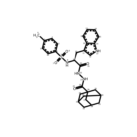 Cc1ccc(S(=O)(=O)N[C@@H](Cc2c[nH]c3ccccc23)C(=O)NNC(=O)C23CC4CC(CC(C4)C2)C3)cc1